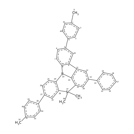 Cc1ccc(-c2ccc3c(c2)-c2cc(-c4ccccc4)cc4c2B3c2ccc(-c3ccc(C)cc3)cc2[Si]4(C)C)cc1